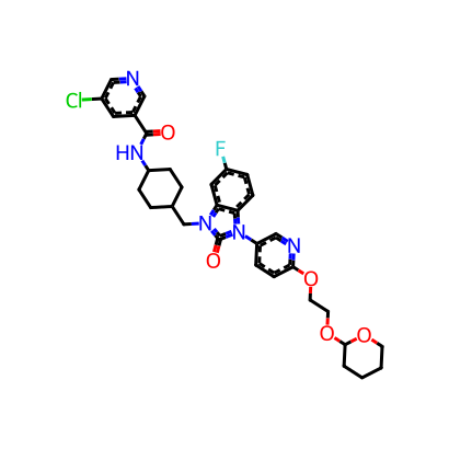 O=C(NC1CCC(Cn2c(=O)n(-c3ccc(OCCOC4CCCCO4)nc3)c3ccc(F)cc32)CC1)c1cncc(Cl)c1